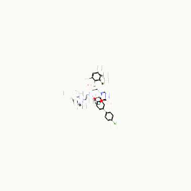 [2H]c1c([2H])c(C([2H])([2H])Sc2nc(=O)c3c(n2CC(=O)N(CCN(C([2H])([2H])C)C([2H])([2H])C)C([2H])(C)c2ccc(-c4ccc(C(F)(F)F)cc4)cc2)CCC3)c([2H])c([2H])c1F